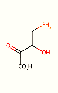 O=C(O)C(=O)C(O)CP